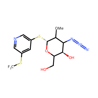 COC1C(N=[N+]=[N-])[C@@H](O)C(CO)O[C@@H]1Sc1cncc(SC(F)(F)F)c1